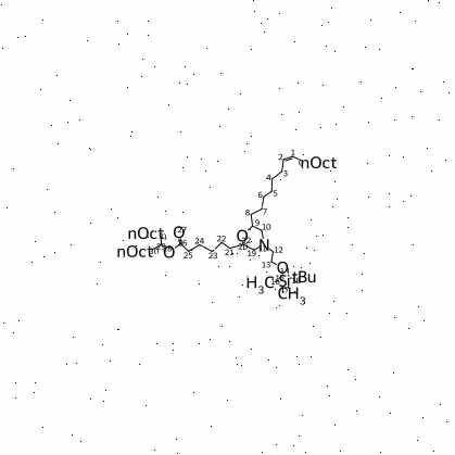 CCCCCCCC/C=C\CCCCCCC1CN(CCO[Si](C)(C)C(C)(C)C)CC(CCCCCC(=O)OC(CCCCCCCC)CCCCCCCC)O1